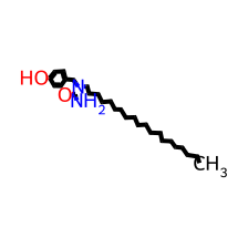 CCCCCCCCCCCCCCCCCCCCN(Cc1ccc(O)cc1)C(N)=O